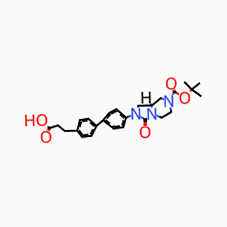 CC(C)(C)OC(=O)N1CCN2C(=O)N(c3ccc(-c4ccc(CCC(=O)O)cc4)cc3)C[C@@H]2C1